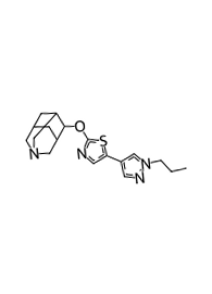 CCCn1cc(-c2cnc(OC3C4CC5CC3CN(C5)C4)s2)cn1